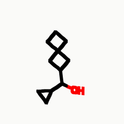 OC(C1CC1)C1CC2(CCC2)C1